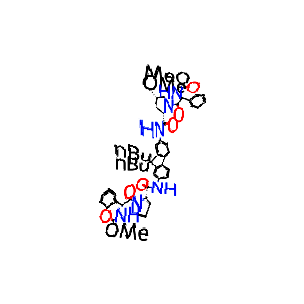 CCCCC1(CCCC)c2cc(NC(=O)[C@@H]3CCCN3C(=O)[C@H](NC(=O)OC)c3ccccc3)ccc2-c2ccc(NC(=O)[C@@H]3C[C@H](COC)CN3C(=O)[C@H](NC(=O)OC)c3ccccc3)cc21